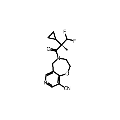 C[C@](C(=O)N1CCOc2c(C#N)cncc2C1)(C(F)F)C1CC1